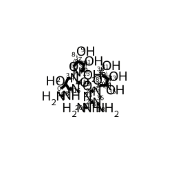 CC1(O)CN(N2O[C@H](CO)[C@@H](O)[C@H]2O)C(=O)N=C1NN.NNC1=NC(=O)N([C@@H]2O[C@H](CO)[C@@H](O)[C@H]2O)CN1N